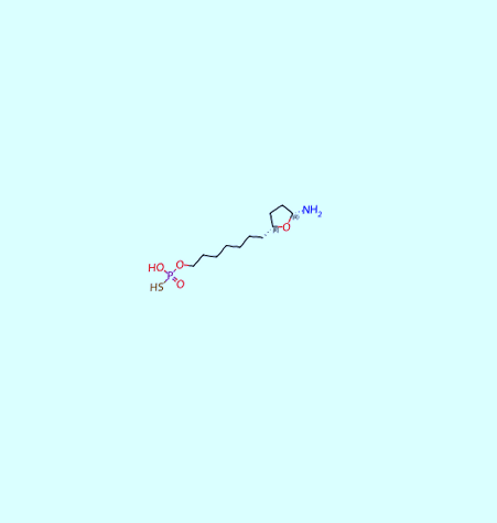 N[C@H]1CC[C@@H](CCCCCCCOP(=O)(O)S)O1